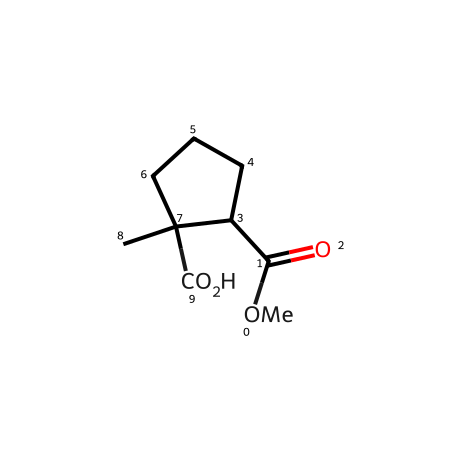 COC(=O)C1CCCC1(C)C(=O)O